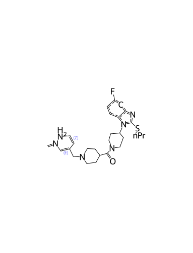 C=N/C=C(\C=C/N)CN1CCC(C(=O)N2CCC(n3c(SCCC)nc4cc(F)ccc43)CC2)CC1